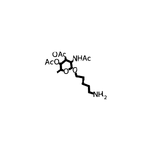 CC(=O)NC1C(OCCCCCN)OC(C)C(OC(C)=O)C1OC(C)=O